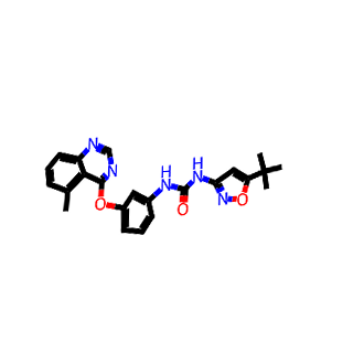 Cc1cccc2ncnc(Oc3cccc(NC(=O)Nc4cc(C(C)(C)C)on4)c3)c12